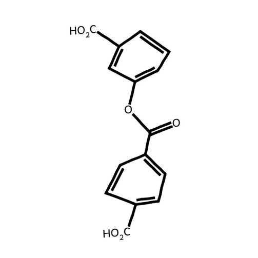 O=C(O)c1ccc(C(=O)Oc2cccc(C(=O)O)c2)cc1